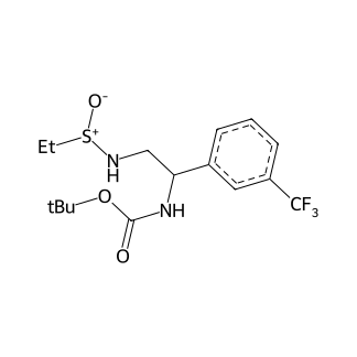 CC[S+]([O-])NCC(NC(=O)OC(C)(C)C)c1cccc(C(F)(F)F)c1